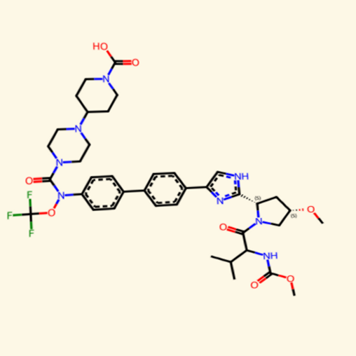 COC(=O)NC(C(=O)N1C[C@@H](OC)C[C@H]1c1nc(-c2ccc(-c3ccc(N(OC(F)(F)F)C(=O)N4CCN(C5CCN(C(=O)O)CC5)CC4)cc3)cc2)c[nH]1)C(C)C